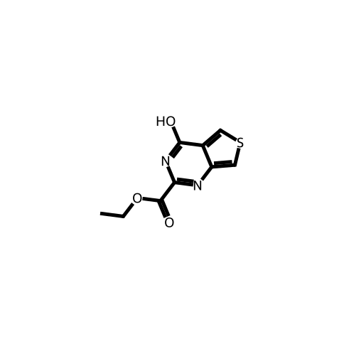 CCOC(=O)c1nc(O)c2cscc2n1